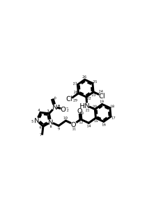 C=[N+]([O-])c1cnc(C)n1CCOC(=O)Cc1ccccc1Nc1c(Cl)cccc1Cl